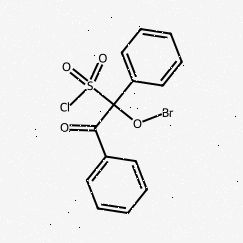 O=C(c1ccccc1)C(OBr)(c1ccccc1)S(=O)(=O)Cl